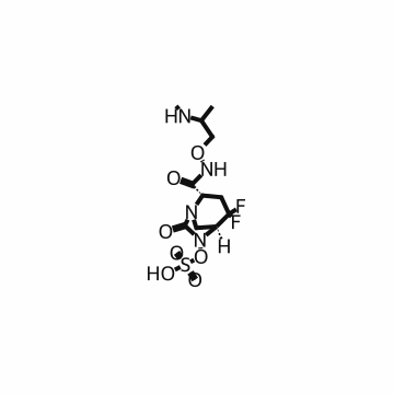 CNC(C)CONC(=O)[C@@H]1CC(F)(F)[C@@H]2CN1C(=O)N2OS(=O)(=O)O